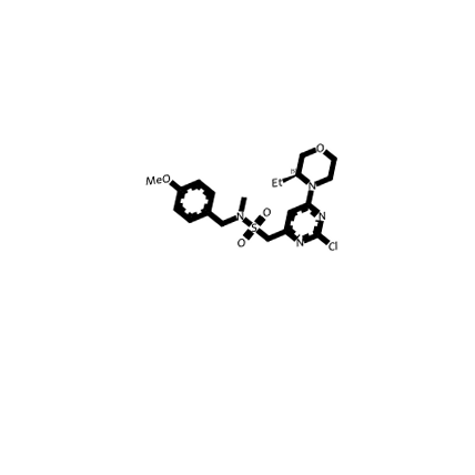 CC[C@H]1COCCN1c1cc(CS(=O)(=O)N(C)Cc2ccc(OC)cc2)nc(Cl)n1